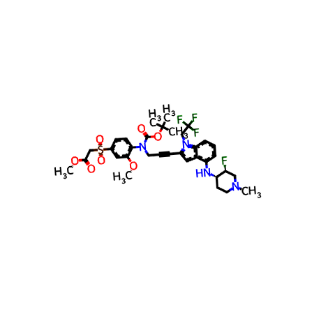 COC(=O)CS(=O)(=O)c1ccc(N(CC#Cc2cc3c(N[C@@H]4CCN(C)C[C@@H]4F)cccc3n2CC(F)(F)F)C(=O)OC(C)(C)C)c(OC)c1